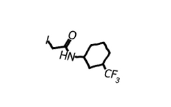 O=C(CI)NC1CCCC(C(F)(F)F)C1